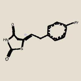 CC(C)c1ccc(C/C=C2\SC(=O)NC2=O)cc1